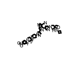 CCC1(C(=O)NC2CCC2)CCN(c2ccc(-c3nc(-c4cnn(C5CCN([C@H]6CCN(c7ccc([N+](=O)[O-])cc7F)CC6(F)F)CC5)c4)cn4ncc(C#N)c34)cn2)CC1